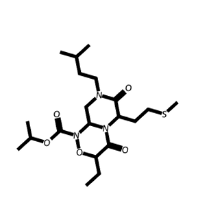 CCC1ON(C(=O)OC(C)C)C2CN(CCC(C)C)C(=O)C(CCSC)N2C1=O